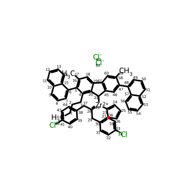 CCCCc1c(-c2cccc3ccccc23)c(C)cc2c1[CH]([Zr+2]([C]1=CC=CC1)=[C](Cc1ccc(Cl)cc1)Cc1ccc(Cl)cc1)c1cc(-c3cccc4ccccc34)c(C)cc1-2.[Cl-].[Cl-]